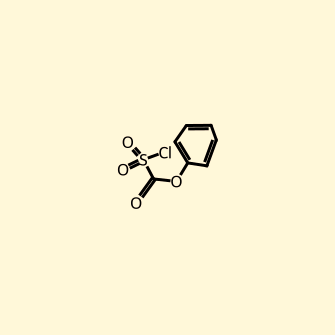 O=C(Oc1ccccc1)S(=O)(=O)Cl